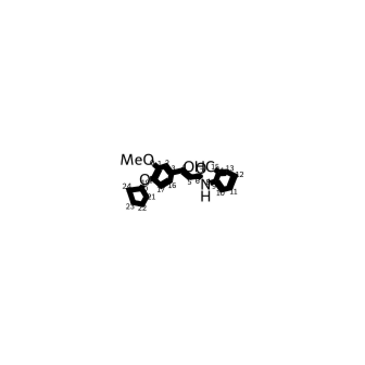 COc1cc(/C=C/C(=O)Nc2ccccc2C=O)ccc1OC1CCCC1